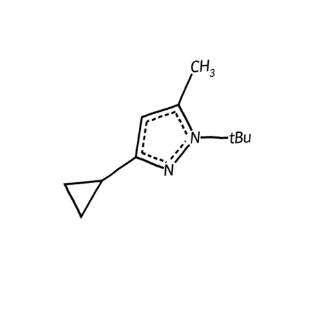 Cc1cc(C2CC2)nn1C(C)(C)C